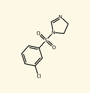 O=S(=O)(c1cccc(Cl)c1)N1C=NCC1